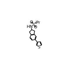 CC(C)S(=O)(=O)NC1Cc2ccc(-c3ccsc3)cc2C1